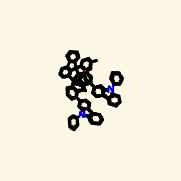 Cc1ccc(C2(c3ccc(C)cc3)c3ccccc3-c3cccc(-c4c5cccc(-c6ccc7c8ccccc8n(-c8ccccc8)c7c6)c5cc5c(-c6ccc7c8ccccc8n(-c8ccccc8)c7c6)cccc45)c32)cc1